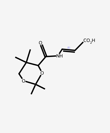 CC1(C)OCC(C)(C)C(C(=O)N/C=C/C(=O)O)O1